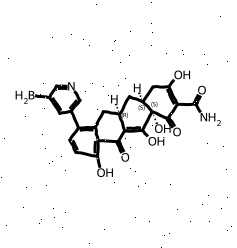 Bc1cncc(-c2ccc(O)c3c2C[C@H]2C[C@H]4CC(O)=C(C(N)=O)C(=O)[C@@]4(O)C(O)=C2C3=O)c1